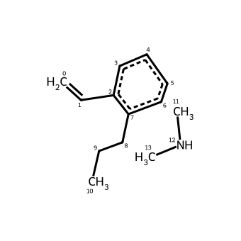 C=Cc1ccccc1CCC.CNC